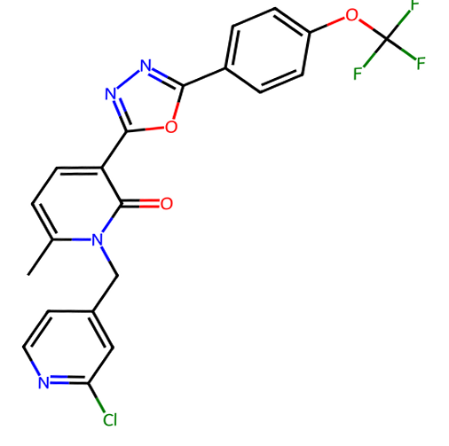 Cc1ccc(-c2nnc(-c3ccc(OC(F)(F)F)cc3)o2)c(=O)n1Cc1ccnc(Cl)c1